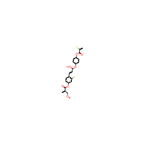 C=C(F)C(=O)Oc1ccc(OC(O)/C=C/c2ccc(OC(=O)C(=C)COC)cc2F)cc1